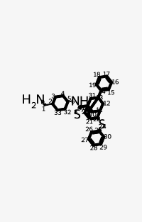 NC[C@H]1CC[C@H](NC(=S)C23CC4CC(c5ccccc5)(CC(C2)C4Sc2ccccc2)C3)CC1